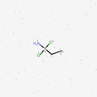 CC(C)[CH2][Ti]([NH2])([Cl])[Cl]